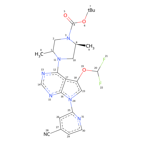 CC1CN(C(=O)OC(C)(C)C)[C@@H](C)CN1c1ncnc2c1c(OC(F)F)cn2-c1cc(C#N)ccn1